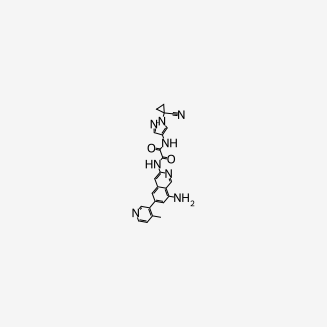 Cc1ccncc1-c1cc(N)c2cnc(NC(=O)C(=O)Nc3cnn(C4(C#N)CC4)c3)cc2c1